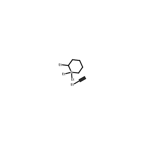 C#CCC.CCC1CCCC[Si]1(CC)CC